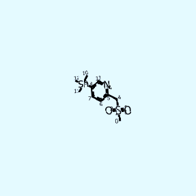 CS(=O)(=O)Cc1cc[c]([Sn]([CH3])([CH3])[CH3])cn1